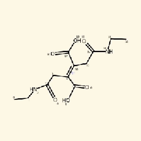 CCNC(=O)C/C(C(=O)O)=C(/CC(=O)NCC)C(=O)O